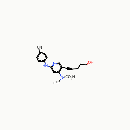 CCCN(C(=O)O)c1cc(Nc2ccc(C#N)cc2)ncc1C#CCCCO